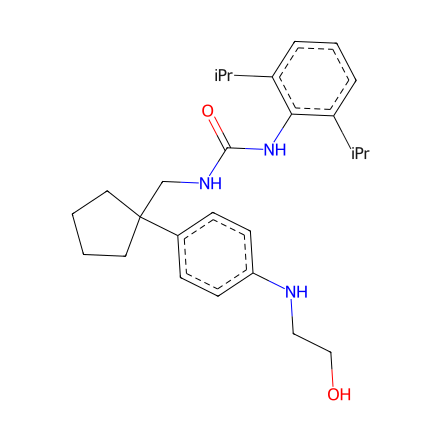 CC(C)c1cccc(C(C)C)c1NC(=O)NCC1(c2ccc(NCCO)cc2)CCCC1